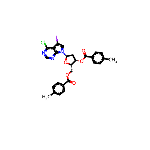 Cc1ccc(C(=O)OC[C@@H]2O[C@@H](n3cc(I)c4c(Cl)ncnc43)C[C@@H]2OC(=O)c2ccc(C)cc2)cc1